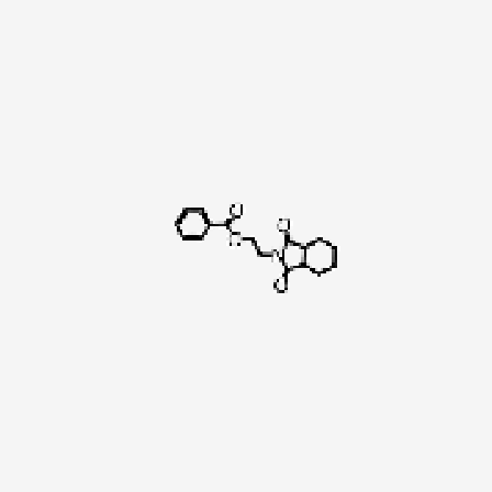 O=C(OCCN1C(=O)C2CCCCC2C1=O)c1ccccc1